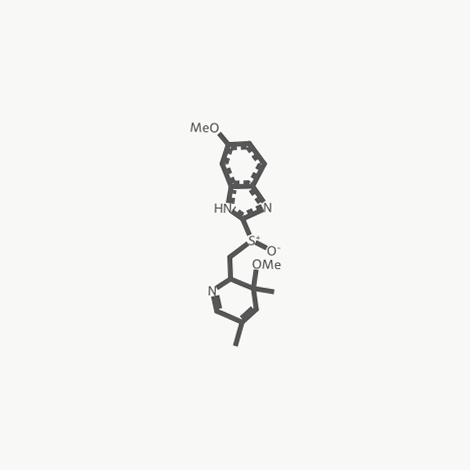 COc1ccc2nc([S+]([O-])CC3N=CC(C)=CC3(C)OC)[nH]c2c1